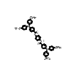 COc1ccc(N(c2ccc(OC)cc2)c2ccc(C(=O)Nc3ccc(NC(=O)c4ccc(N(c5ccc(OC)cc5)c5ccc(OC)cc5)cc4)cc3)cc2)cc1